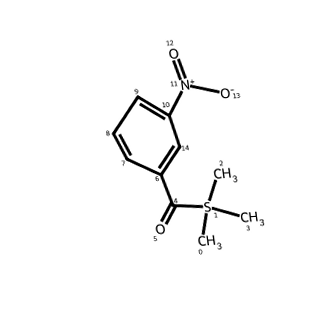 CS(C)(C)C(=O)c1cccc([N+](=O)[O-])c1